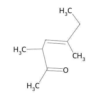 CCC(C)=CC(C)C(C)=O